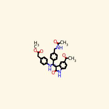 COC(=O)Cc1ccc(N/C(=C2\C(=O)Nc3ccc(C(C)=O)cc32)c2ccc(CNC(C)=O)cc2)cc1